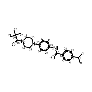 CC(C)c1ccc(C(=O)Nc2ccc(N3CCN(C(=O)C(C)(C)C)CC3)cc2)cc1